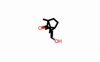 CC12CCC(/C(=C\O)C1=O)C2(C)C